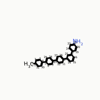 Cc1ccc(-c2ccc(-c3ccc(-c4cccc(-c5ccc(N)cc5)c4)cc3)cc2)cc1